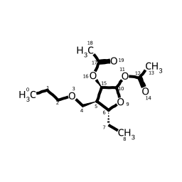 CCCOC[C@@H]1[C@@H](CC)OC(OC(C)=O)[C@@H]1OC(C)=O